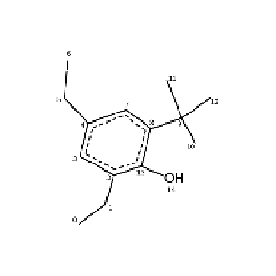 CCc1cc(CI)cc(C(C)(C)C)c1O